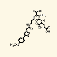 COc1ccc(-c2cn(CC(=O)NCCCC[C@@H](C(=O)O)N(C)C(=O)NC(CCC(=O)O)C(=O)O)nn2)cc1